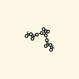 O=S12(c3ccccc3-c3ccccc31)c1ccc(-c3ccc(-n4c5ccccc5c5c6c(ccc54)sc4ccccc46)cc3)cc1-c1cc(-c3ccc(-n4c5ccccc5c5c6c(ccc54)sc4ccccc46)cc3)ccc12